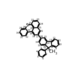 CC1(c2ccccc2)c2ccccc2-c2cc(-c3cc4c5c(cccc5c3)Sc3ccccc3-4)ccc21